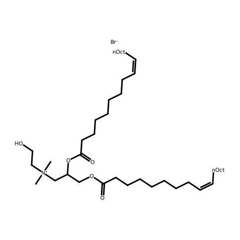 CCCCCCCC/C=C\CCCCCCCC(=O)OCC(C[N+](C)(C)CCO)OC(=O)CCCCCCC/C=C\CCCCCCCC.[Br-]